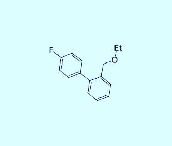 CCOCc1ccccc1-c1ccc(F)cc1